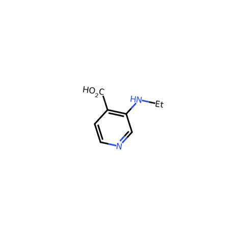 CCNc1cnccc1C(=O)O